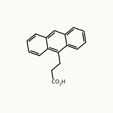 O=C(O)CCc1c2ccccc2cc2ccccc12